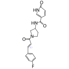 O=C(NC1CCN(C(=O)/C=C/c2ccc(F)cc2)C1)c1ccc(=O)[nH]c1